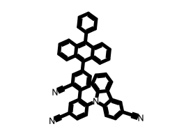 N#Cc1ccc(-n2c3ccccc3c3cc(C#N)ccc32)c(-c2ccc(-c3c4ccccc4c(-c4ccccc4)c4ccccc34)cc2C#N)c1